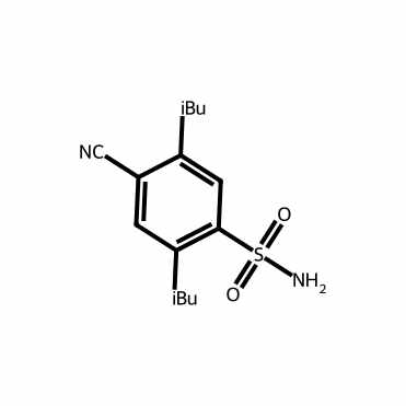 CCC(C)c1cc(S(N)(=O)=O)c(C(C)CC)cc1C#N